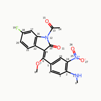 CNc1ccc(C(OC)=C2C(=O)N(C(C)=O)c3cc(F)ccc32)cc1[N+](=O)[O-]